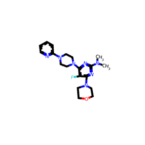 CN(C)c1nc(N2CCOCC2)c(F)c(N2CCN(c3ccccn3)CC2)n1